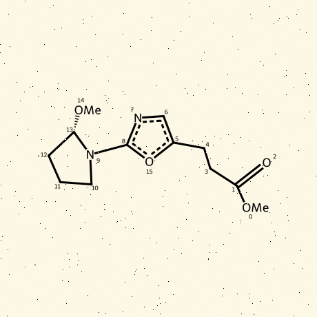 COC(=O)CCc1cnc(N2CCC[C@@H]2OC)o1